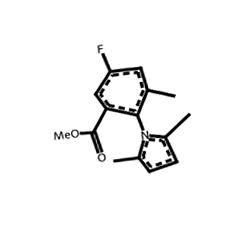 COC(=O)c1cc(F)cc(C)c1-n1c(C)ccc1C